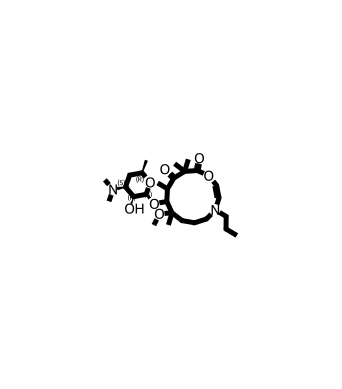 CCCN1C=COC(=O)C(C)(C)C(=O)C(C)C(O[C@@H]2O[C@H](C)C[C@H](N(C)C)[C@H]2O)C(C)(OC)CCC1